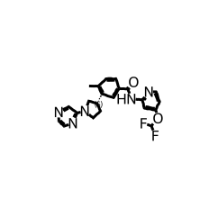 Cc1ccc(C(=O)Nc2cc(OC(F)F)ccn2)cc1[C@@H]1CCN(c2cnccn2)C1